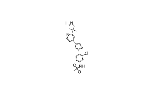 CC(C)(CN)c1cc(-c2csc(-c3ccc(NS(C)(=O)=O)cc3Cl)c2)ccn1